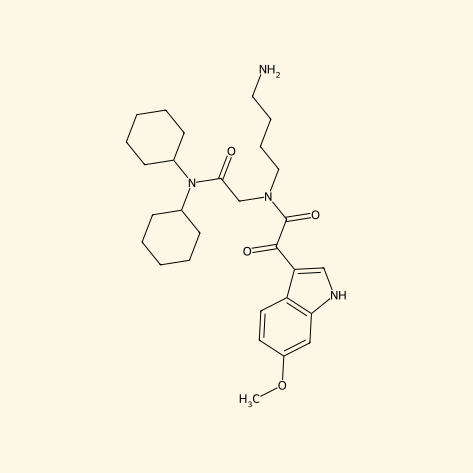 COc1ccc2c(C(=O)C(=O)N(CCCCN)CC(=O)N(C3CCCCC3)C3CCCCC3)c[nH]c2c1